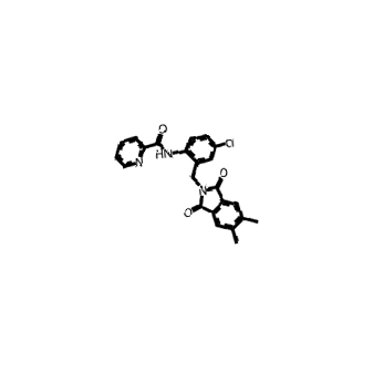 Cc1cc2c(cc1C)C(=O)N(Cc1cc(Cl)ccc1NC(=O)c1ccccn1)C2=O